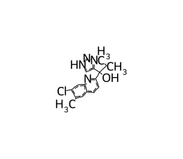 Cc1cc2ccc(C(O)(c3c[nH]nn3)C(C)C)nc2cc1Cl